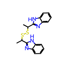 CC(SSC(C)c1nc2ccccc2[nH]1)c1nc2ccccc2[nH]1